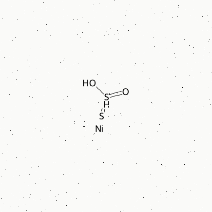 O=[SH](O)=S.[Ni]